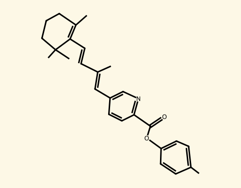 CC1=C(C=C/C(C)=C/c2ccc(C(=O)Oc3ccc(C)cc3)nc2)C(C)(C)CCC1